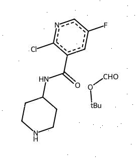 CC(C)(C)OC=O.O=C(NC1CCNCC1)c1cc(F)cnc1Cl